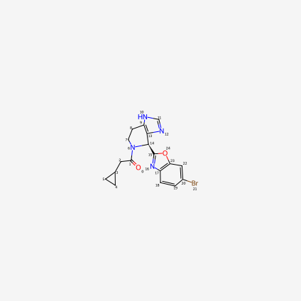 O=C(CC1CC1)N1CCc2[nH]cnc2[C@H]1c1nc2ccc(Br)cc2o1